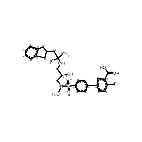 CN(C[C@H](O)CNC(C)(C)CC1Cc2ccccc2C1)S(=O)(=O)c1ccc(-c2ccc(F)c(C(=O)O)c2)cc1